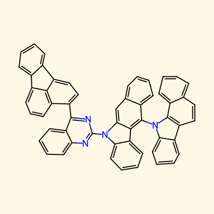 c1ccc2c(c1)-c1cccc3c(-c4nc(-n5c6ccccc6c6c(-n7c8ccccc8c8ccc9ccccc9c87)c7ccccc7cc65)nc5ccccc45)ccc-2c13